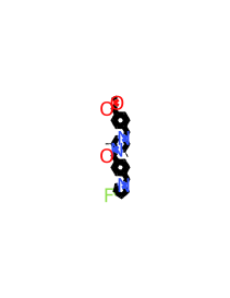 COC(=O)c1ccc(CN2C[C@@H](C)N(C(=O)c3ccc(CN4CCC(F)C4)cc3)[C@@H](C)C2)cc1